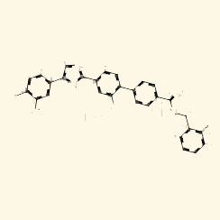 O=C(O)Oc1cc(-c2nc(-c3ccc(Cl)c(Cl)c3)cs2)ccc1-c1ccc(C(=O)NCc2ccccc2F)cc1